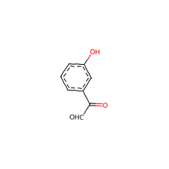 O=CC(=O)c1cccc(O)c1